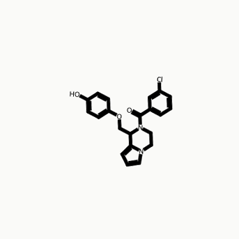 O=C(c1cccc(Cl)c1)N1CCn2cccc2C1COc1ccc(O)cc1